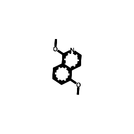 COc1cccc2c(OC)nccc12